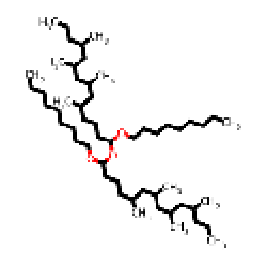 CCCCCCCCCOC(CCCC(C)CC(C)CC(C)CC(C)CCC)OC(CCCC(C)CC(C)CC(C)CC(C)CCC)OCCCCCCCCC